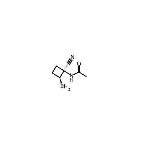 B[C@H]1CC[C@@]1(C#N)NC(C)=O